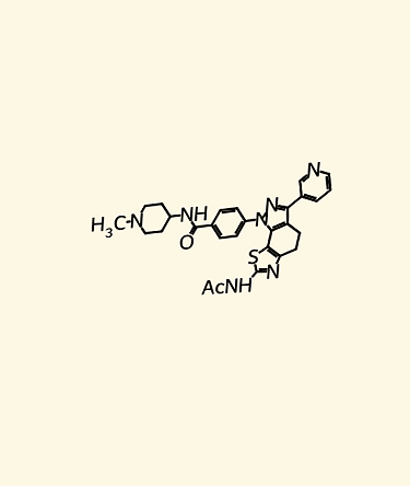 CC(=O)Nc1nc2c(s1)-c1c(c(-c3cccnc3)nn1-c1ccc(C(=O)NC3CCN(C)CC3)cc1)CC2